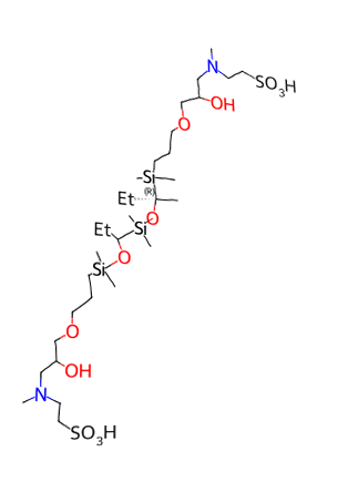 CCC(O[Si](C)(C)CCCOCC(O)CN(C)CCS(=O)(=O)O)[Si](C)(C)O[C@@](C)(CC)[Si](C)(C)CCCOCC(O)CN(C)CCS(=O)(=O)O